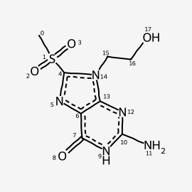 CS(=O)(=O)c1nc2c(=O)[nH]c(N)nc2n1CCO